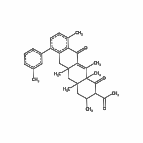 CC(=O)C1C(=O)C2(C)C(C)=C3C(=O)c4c(C)ccc(-c5cccc(C)c5)c4CC3(C)CC2(C)CC1C